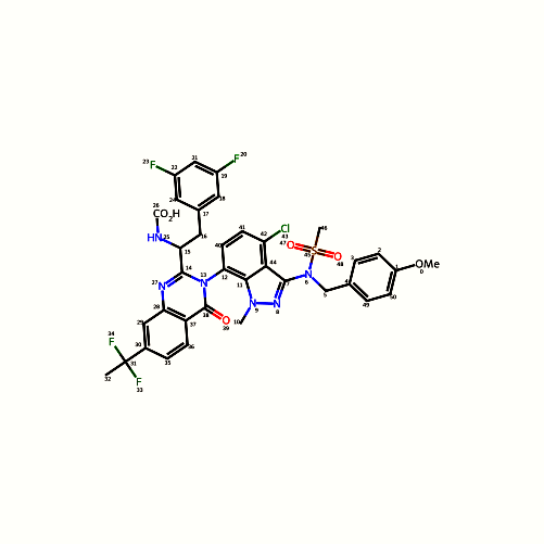 COc1ccc(CN(c2nn(C)c3c(-n4c(C(Cc5cc(F)cc(F)c5)NC(=O)O)nc5cc(C(C)(F)F)ccc5c4=O)ccc(Cl)c23)S(C)(=O)=O)cc1